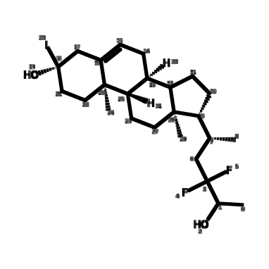 CC(O)C(F)(F)C[C@@H](C)[C@H]1CCC2[C@@H]3CC=C4C[C@](O)(I)CC[C@]4(C)[C@H]3CC[C@@]21C